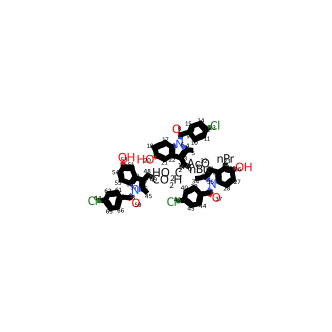 CCCCC(C(=O)O)c1c(C)n(C(=O)c2ccc(Cl)cc2)c2ccc(O)cc12.CCCc1c(O)ccc2c1c(OC(C)=O)c(C)n2C(=O)c1ccc(Cl)cc1.Cc1c(CC(=O)O)c2cc(O)ccc2n1C(=O)c1ccc(Cl)cc1